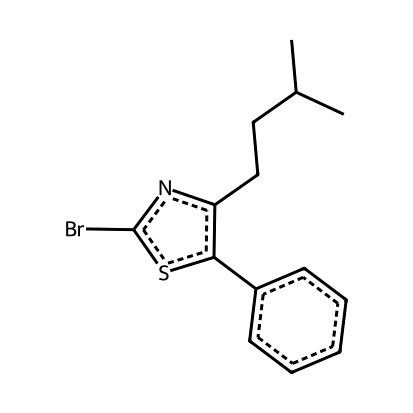 CC(C)CCc1nc(Br)sc1-c1ccccc1